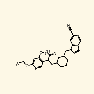 CCOc1cc(C)c(C(CC2CCC[C@H](Cn3cnc4ccc(C#N)cc43)C2)C(=O)O)cn1